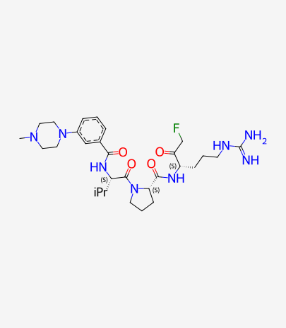 CC(C)[C@H](NC(=O)c1cccc(N2CCN(C)CC2)c1)C(=O)N1CCC[C@H]1C(=O)N[C@@H](CCCNC(=N)N)C(=O)CF